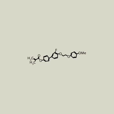 C=C(C)C(=O)Oc1ccc(-c2ccc(OCCOc3ccc(OC)cc3)c(F)c2)cc1